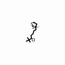 CC(C)(C)C(=O)CCCC[C@]1(C)CCSS1